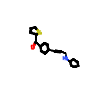 O=C(c1ccc(C#CCNc2ccccc2)cc1)c1cccs1